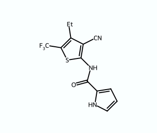 CCc1c(C(F)(F)F)sc(NC(=O)c2ccc[nH]2)c1C#N